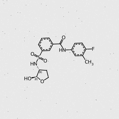 Cc1cc(NC(=O)c2cccc(S(=O)(=O)N[C@@H]3CCO[C@H]3O)c2)ccc1F